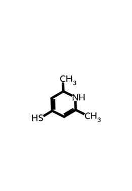 CC1=CC(S)=CC(C)N1